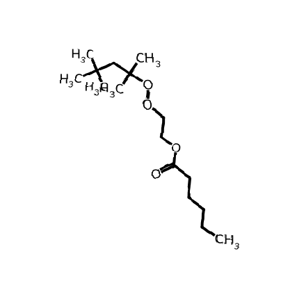 CCCCCC(=O)OCCOOC(C)(C)CC(C)(C)C